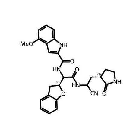 COc1cccc2[nH]c(C(=O)NC(C(=O)NC(C#N)C[C@@H]3CCNC3=O)[C@@H]3Cc4ccccc4O3)cc12